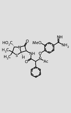 COc1cc(C(=N)N)ccc1ON(C(C)=O)C(C(=O)NC1C(=O)N2[C@@H]1SC(C)(C)[C@@H]2C(=O)O)c1ccccc1